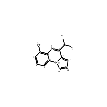 CCc1cccc2c1nc(C(Cl)Cl)c1nnnn12